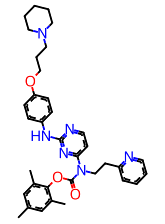 Cc1cc(C)c(OC(=O)N(CCc2ccccn2)c2ccnc(Nc3ccc(OCCCN4CCCCC4)cc3)n2)c(C)c1